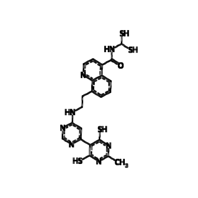 Cc1nc(S)c(-c2cc(NCCc3cccc4c(C(=O)NC(S)S)ccnc34)ncn2)c(S)n1